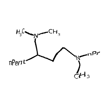 CCCCCC(CCN(C)CCC)N(C)C